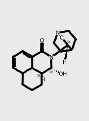 O=C1C2=CC=CC3CCC[C@@H](C23)[C@@H](O)N1[C@@H]1CN2CCC1CC2